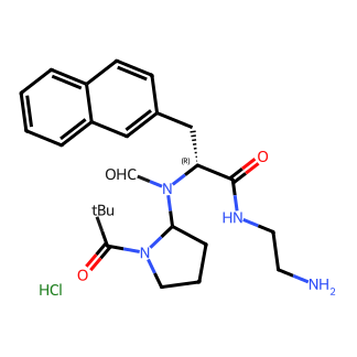 CC(C)(C)C(=O)N1CCCC1N(C=O)[C@H](Cc1ccc2ccccc2c1)C(=O)NCCN.Cl